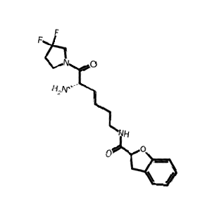 N[C@@H](CCCCNC(=O)C1Cc2ccccc2O1)C(=O)N1CCC(F)(F)C1